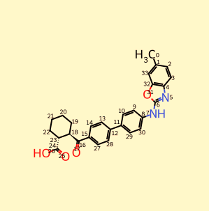 Cc1ccc2nc(Nc3ccc(-c4ccc(C(=O)[C@@H]5CCCC[C@H]5C(=O)O)cc4)cc3)oc2c1